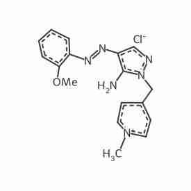 COc1ccccc1N=Nc1cnn(Cc2cc[n+](C)cc2)c1N.[Cl-]